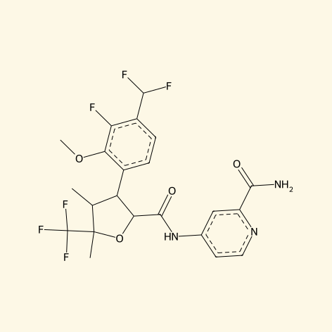 COc1c(C2C(C(=O)Nc3ccnc(C(N)=O)c3)OC(C)(C(F)(F)F)C2C)ccc(C(F)F)c1F